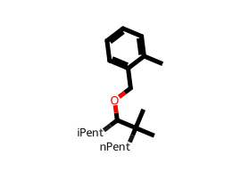 CCCCCC(C)(C)[C](OCc1ccccc1C)C(C)CCC